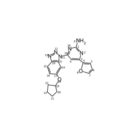 Nc1nc(-c2ccco2)cc(-n2nnc3ccc(OC4CCCC4)cc32)n1